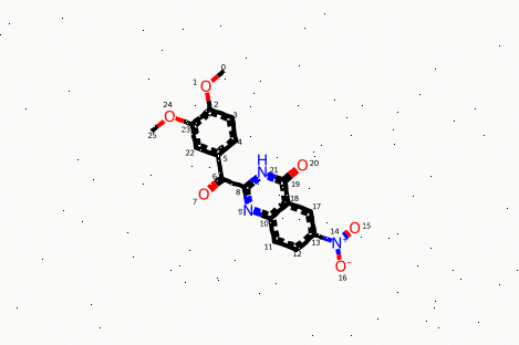 COc1ccc(C(=O)c2nc3ccc([N+](=O)[O-])cc3c(=O)[nH]2)cc1OC